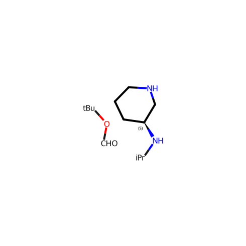 CC(C)(C)OC=O.CC(C)N[C@H]1CCCNC1